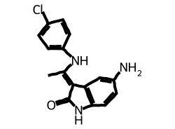 CC(Nc1ccc(Cl)cc1)=C1C(=O)Nc2ccc(N)cc21